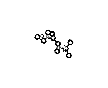 c1ccc(-c2cc(-c3ccccc3)nc(-n3c4ccccc4c4cc(-c5cc6ccc7cccc8c7c6c(c5)n8-c5cccc6c5oc5ccccc56)ccc43)n2)cc1